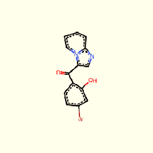 O=C(c1ccc(Br)cc1O)c1cnc2ccccn12